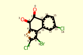 O=C1C(=O)c2sc(Cl)c(Br)c2-c2cc(Cl)ccc21